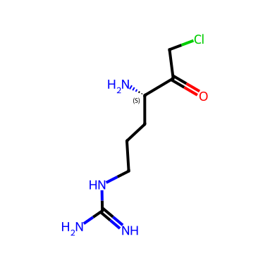 N=C(N)NCCC[C@H](N)C(=O)CCl